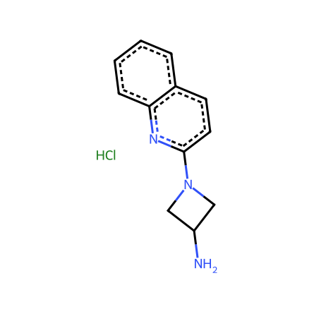 Cl.NC1CN(c2ccc3ccccc3n2)C1